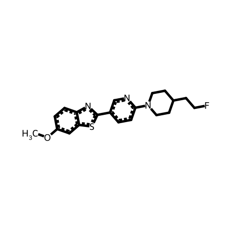 COc1ccc2nc(-c3ccc(N4CCC(CCF)CC4)nc3)sc2c1